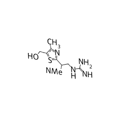 CNC(CNC(=N)N)c1nc(C)c(CO)s1